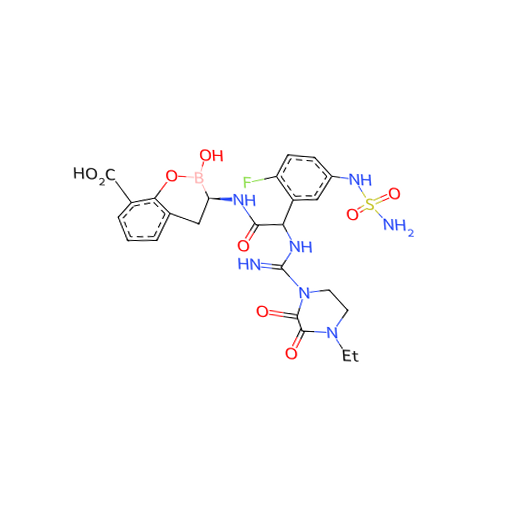 CCN1CCN(C(=N)NC(C(=O)N[C@H]2Cc3cccc(C(=O)O)c3OB2O)c2cc(NS(N)(=O)=O)ccc2F)C(=O)C1=O